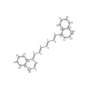 C1=C\C(=C/C=C/C=C/C=C/c2cc[o+]c3ccccc23)c2ccccc2O1